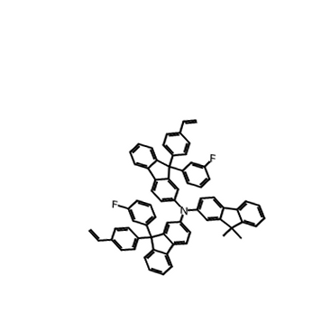 C=Cc1ccc(C2(c3cccc(F)c3)c3ccccc3-c3ccc(N(c4ccc5c(c4)C(C)(C)c4ccccc4-5)c4ccc5c(c4)C(c4ccc(C=C)cc4)(c4cccc(F)c4)c4ccccc4-5)cc32)cc1